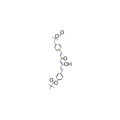 CC(C)(Cc1ccc(/C=C/C(=O)/C=C(O)/C=C/c2ccc(OC(=O)C(C)(C)C)cc2)cc1)OC=O